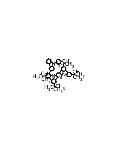 CC(C)(C)c1ccc2c(c1)c1cc(C(C)(C)C)cc3c4cc5c(nc4n2c13)c1cc(C(C)(C)C)cc2c3cc(C(C)(C)C)cc(-c4ccc6c(c4)c4ccccc4n6-c4ccccc4)c3n5c21